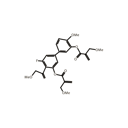 C=C(COC)C(=O)Oc1cc(-c2cc(F)c(C(=C)COC)c(OC(=O)C(=C)COC)c2)ccc1OC